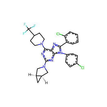 FC(F)(F)C1CCN(c2nc(N3C[C@H]4C[C@H]4C3)nc3c2nc(-c2ccccc2Cl)n3-c2ccc(Cl)cc2)CC1